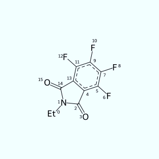 CCN1C(=O)c2c(F)c(F)c(F)c(F)c2C1=O